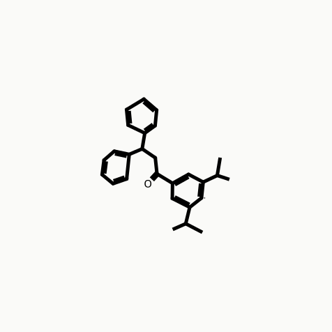 CC(C)c1[c]c(C(C)C)cc(C(=O)CC(c2ccccc2)c2ccccc2)c1